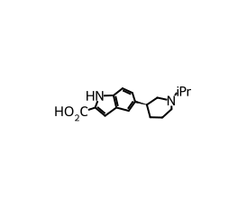 CC(C)N1CCC[C@@H](c2ccc3[nH]c(C(=O)O)cc3c2)C1